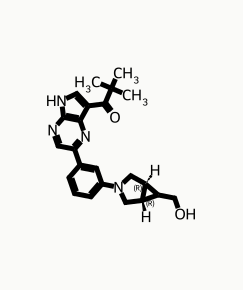 CC(C)(C)C(=O)c1c[nH]c2ncc(-c3cccc(N4C[C@H]5C(CO)[C@@H]5C4)c3)nc12